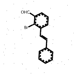 O=Cc1cccc(/C=C/c2ccccc2)c1Br